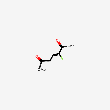 COC(=O)CC=C(F)C(=O)OC